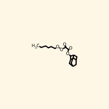 CCCCCCOOC(=O)C(=O)OC1C2CC3CC(C2)CC1C3